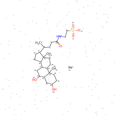 CC(CCC(=O)NCCS(=O)(=O)[O-])C1CCC2C3CC(O)C4CC(O)CCC4(C)C3CCC12C.[Na+]